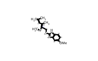 C=N/C(CSc1nc2cc(OC)ccc2[nH]1)=C(/C)C=C(C)C